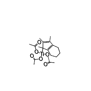 CC(=O)[O][Ti]([O]C(C)=O)([O]C(C)=O)[C]1(C)C(C)=C(C)C2=C1CCCC2